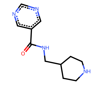 O=C(NCC1CCNCC1)c1cncnc1